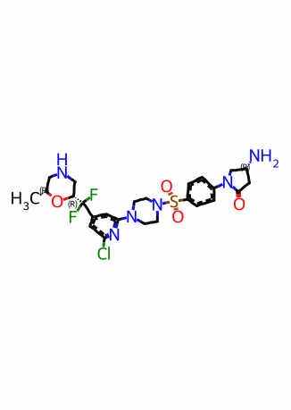 C[C@@H]1CNC[C@H](C(F)(F)c2cc(Cl)nc(N3CCN(S(=O)(=O)c4ccc(N5C[C@H](N)CC5=O)cc4)CC3)c2)O1